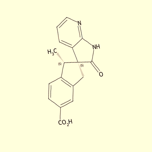 C[C@H]1c2ccc(C(=O)O)cc2C[C@]12C(=O)Nc1ncccc12